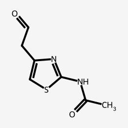 CC(=O)Nc1nc(CC=O)cs1